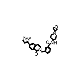 Cn1nccc1-c1ccc2c(=O)n(Cc3cccc(C(=O)NC4CCN(C5COC5)CC4)c3)ccc2c1